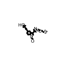 COCCn1cc(-c2cnn(COCCS(C)(C)C)c2)c2cc(C#CC(C)(C)O)ccc21